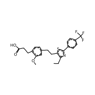 CCc1nc(-c2ccc(C(F)(F)F)cc2)sc1CCc1ccc(CCC(=O)O)c(OC)c1